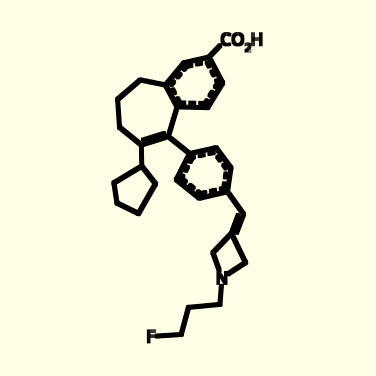 O=C(O)c1ccc2c(c1)CCCC(C1CCCC1)=C2c1ccc(C=C2CN(CCCF)C2)cc1